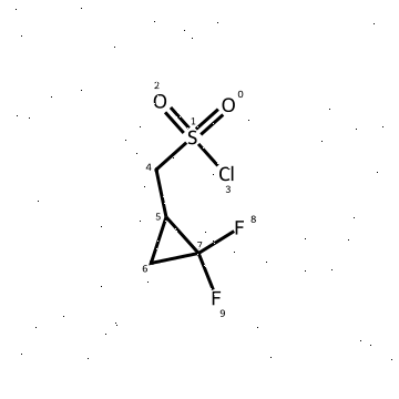 O=S(=O)(Cl)CC1CC1(F)F